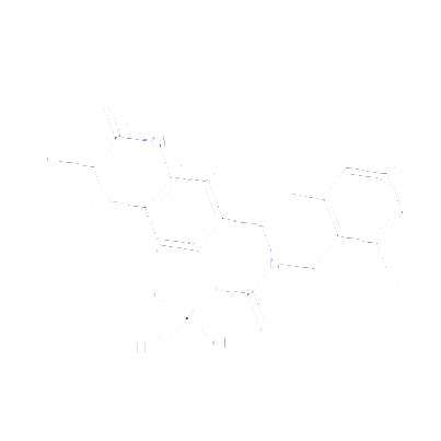 CC1Oc2ccc(CN(Cc3c(F)cccc3Cl)C(=O)OC(C)(C)C)cc2NC1=S